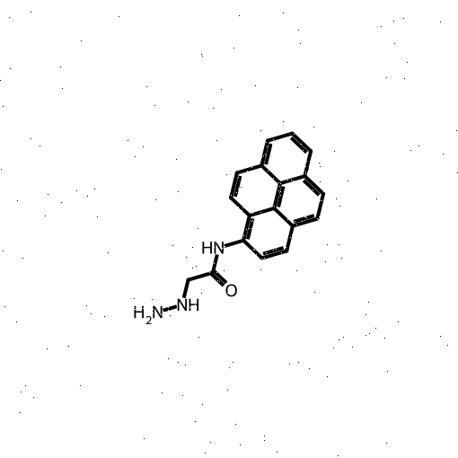 NNCC(=O)Nc1ccc2ccc3cccc4ccc1c2c34